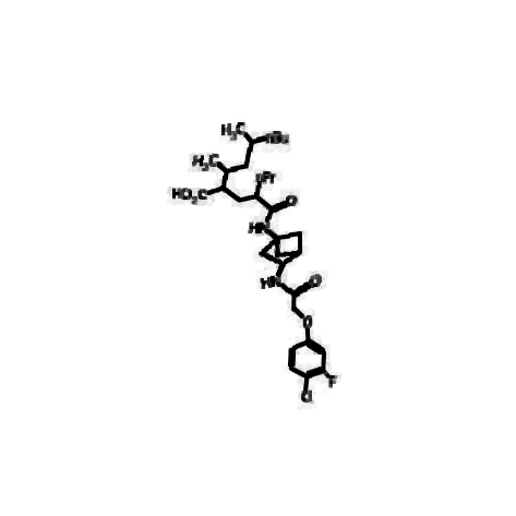 CCCCC(C)CC(C)C(CC(CCC)C(=O)NC12CC(C1)C(NC(=O)COc1ccc(Cl)c(F)c1)C2)C(=O)O